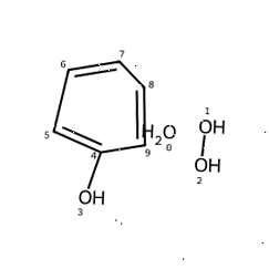 O.OO.Oc1ccccc1